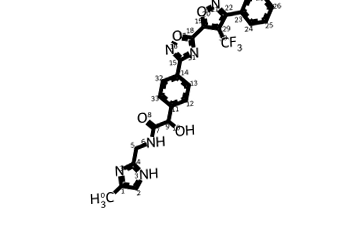 Cc1c[nH]c(CNC(=O)C(O)c2ccc(-c3noc(-c4onc(-c5ccccc5)c4C(F)(F)F)n3)cc2)n1